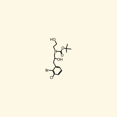 CC(C)(C)OC(=O)N(CCO)CC(O)Cc1cccc(Cl)c1Br